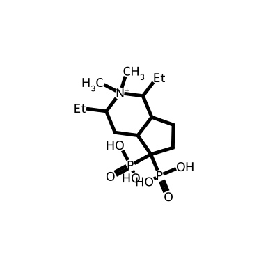 CCC1CC2C(CCC2(P(=O)(O)O)P(=O)(O)O)C(CC)[N+]1(C)C